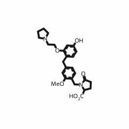 COc1cc(Cc2[c]cc(O)cc2OCCN2CCCC2)ccc1CN1C(=O)CCC1C(=O)O